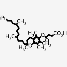 Cc1c(C)c2c(c(C)c1OC(=O)CCC(=O)O)CC[C@@](C)(CCCC(C)CCCC(C)CCCC(C)C)O2